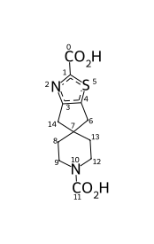 O=C(O)c1nc2c(s1)CC1(CCN(C(=O)O)CC1)C2